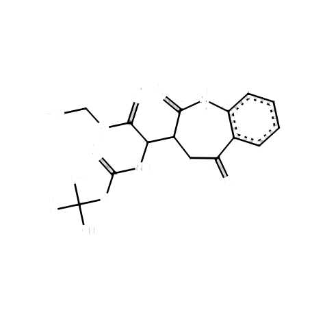 CCOC(=O)C(NC(=O)OC(C)(C)C)C1CC(=O)c2ccccc2NC1=O